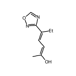 CC/C(=C\C=C(/C)O)c1ncon1